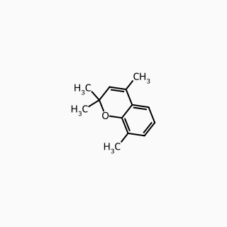 CC1=CC(C)(C)Oc2c(C)cccc21